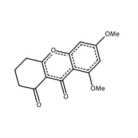 COc1cc(OC)c2c(=O)c3c(oc2c1)CCCC3=O